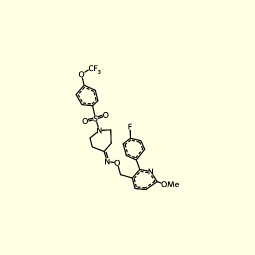 COc1ccc(CON=C2CCN(S(=O)(=O)c3ccc(OC(F)(F)F)cc3)CC2)c(-c2ccc(F)cc2)n1